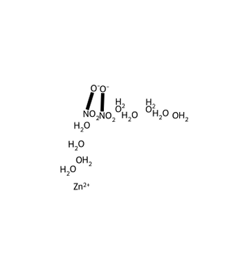 O.O.O.O.O.O.O.O.O.O=[N+]([O-])[O-].O=[N+]([O-])[O-].[Zn+2]